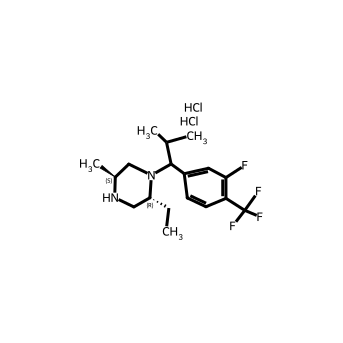 CC[C@@H]1CN[C@@H](C)CN1C(c1ccc(C(F)(F)F)c(F)c1)C(C)C.Cl.Cl